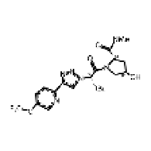 CNC(=O)[C@@H]1C[C@@H](O)CN1C(=O)[C@@H](n1cc(-c2ccc(OC(F)(F)F)cn2)nn1)C(C)(C)C